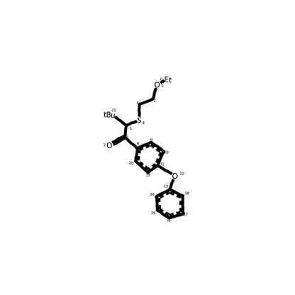 CCOCCSC(C(=O)c1ccc(Oc2ccccc2)cc1)C(C)(C)C